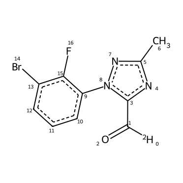 [2H]C(=O)c1nc(C)nn1-c1cccc(Br)c1F